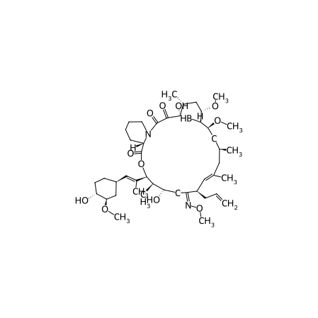 C=CC[C@@H]1/C=C(\C)C[C@H](C)C[C@H](OC)[C@H]2B[C@@](O)(C(=O)C(=O)N3CCCC[C@H]3C(=O)O[C@H](/C(C)=C/[C@@H]3CC[C@@H](O)[C@H](OC)C3)[C@H](C)[C@@H](O)C/C1=N/OC)[C@H](C)C[C@@H]2OC